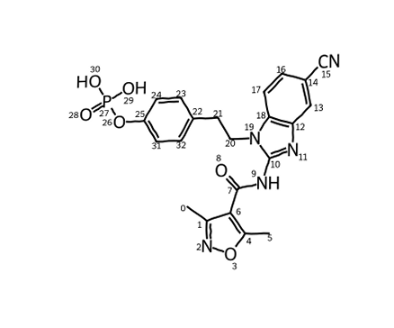 Cc1noc(C)c1C(=O)Nc1nc2cc(C#N)ccc2n1CCc1ccc(OP(=O)(O)O)cc1